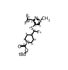 Cn1cc(SC(F)C2CCN(C(=O)OC(C)(C)C)CC2)c(C(F)F)n1